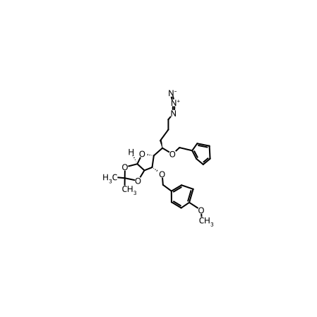 COc1ccc(CO[C@@H]2C3OC(C)(C)O[C@H]3O[C@@H]2[C@@H](CCCN=[N+]=[N-])OCc2ccccc2)cc1